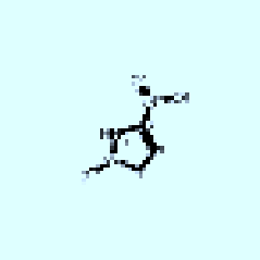 CN1[CH]C=C([N+](=O)[O-])N1